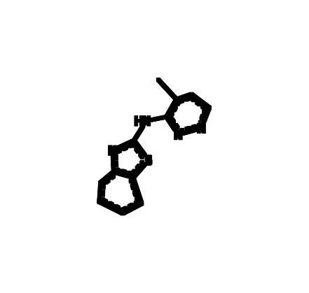 Cc1ccnnc1Nc1nc2ccccc2s1